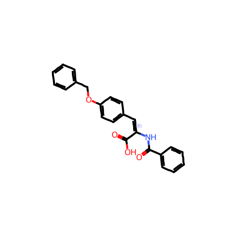 O=C(O)/C(=C\c1ccc(OCc2ccccc2)cc1)NC(=O)c1ccccc1